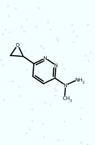 CN(N)c1ccc(C2CO2)nn1